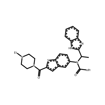 CCCC(=O)N(c1ccc2sc(C(=O)N3CCN(CC)CC3)cc2c1)C(C)c1nc2ccccc2[nH]1